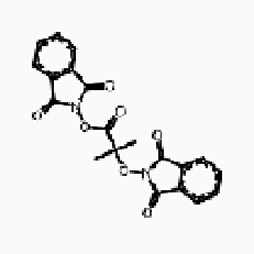 CC(C)(ON1C(=O)c2ccccc2C1=O)C(=O)ON1C(=O)c2ccccc2C1=O